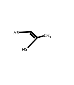 CC(S)=CS